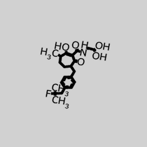 CC1CCC(Cc2ccc(CC(C)(C)F)cc2)C(=O)C(C(=O)NCC(O)O)=C1O